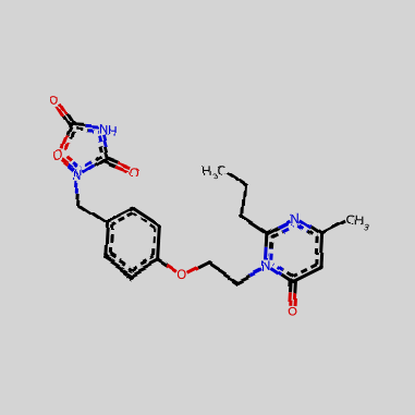 CCCc1nc(C)cc(=O)n1CCOc1ccc(Cn2oc(=O)[nH]c2=O)cc1